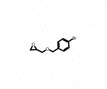 Brc1ccc(COCC2CO2)cc1